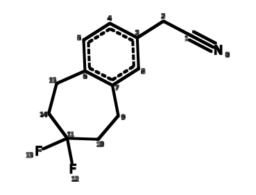 N#CCc1ccc2c(c1)CCC(F)(F)CC2